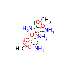 CC(=O)O[C@@H]1[C@@H](O)[C@H](O[C@H]2O[C@H](CN)[C@H](OC(C)=O)[C@H](F)[C@H]2N)[C@@H](N)C[C@H]1N